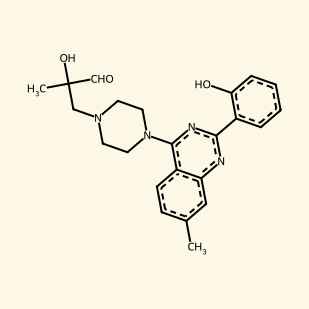 Cc1ccc2c(N3CCN(CC(C)(O)C=O)CC3)nc(-c3ccccc3O)nc2c1